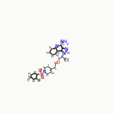 CCC(COCCC1CCN(S(=O)(=O)c2ccc(C)cc2F)CC1)n1cnc2c(N)nc3ccccc3c21